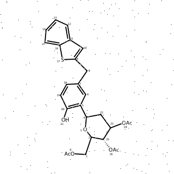 CC(=O)OCC1OC(c2cc(Cc3cc4ccccc4s3)ccc2O)CC(OC(C)=O)[C@@H]1OC(C)=O